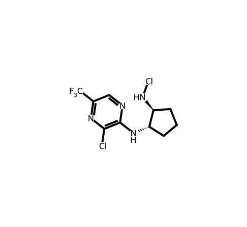 FC(F)(F)c1cnc(N[C@H]2CCC[C@@H]2NCl)c(Cl)n1